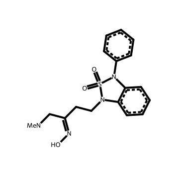 CNCC(CCN1c2ccccc2N(c2ccccc2)S1(=O)=O)=NO